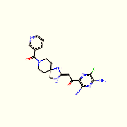 Nc1nc(N)c(C(=O)/C=C2\NCC3(CCN(C(=O)c4cccnc4)CC3)N2)nc1Cl